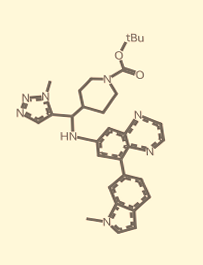 Cn1nncc1C(Nc1cc(-c2ccc3ccn(C)c3c2)c2nccnc2c1)C1CCN(C(=O)OC(C)(C)C)CC1